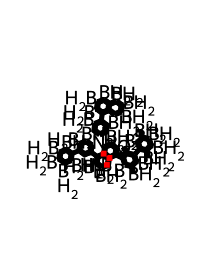 Bc1cc(N(c2cc(B)c3c(oc4c(-c5c(B)c(B)c(B)c(B)c5B)c(B)c(B)c(B)c43)c2B)c2c(-c3cccc(B)c3B)cc(-c3c(B)c(B)c(B)c(B)c3B)c(B)c2B)ccc1-c1c(B)c(B)c(B)c2c(B)c(B)c(B)c(B)c12